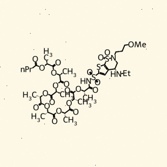 CCCC(=O)O[C@@H](C)C(=O)O[C@@H](C)C(=O)O[C@@H](C)C(=O)O[C@@H](C)C(=O)O[C@@H](C)C(=O)O[C@@H](C)C(=O)O[C@@H](C)C(=O)O[C@@H](C)C(=O)NS(=O)(=O)c1cc2c(s1)S(=O)(=O)N(CCCOC)C[C@@H]2NCC